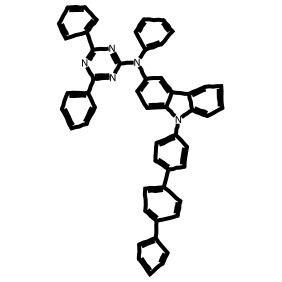 c1ccc(-c2ccc(-c3ccc(-n4c5ccccc5c5cc(N(c6ccccc6)c6nc(-c7ccccc7)nc(-c7ccccc7)n6)ccc54)cc3)cc2)cc1